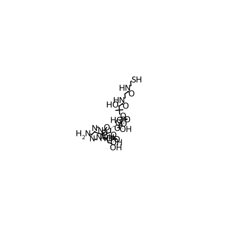 CC(C)(COP(=O)(O)OP(=O)(O)OC[C@H]1O[C@@H](N2CN=C3C(N)=NC=NC32C(=O)C=CCCO)[C@H](O)[C@@H]1OP(=O)(O)O)C(O)C(=O)NCCC(=O)NCCS